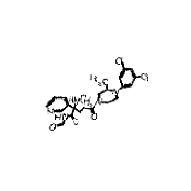 CNC(CCC(=O)N1CCN(c2cc(Cl)cc(Cl)c2)C(C)C1)(C(=O)NC=O)c1cccnc1